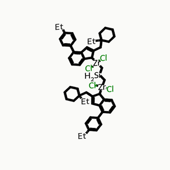 CCc1ccc(-c2cccc3c2C=C(CC2(CC)CCCCC2)[CH]3[Zr]([Cl])([Cl])[CH2][SiH2][CH2][Zr]([Cl])([Cl])[CH]2C(CC3(CC)CCCCC3)=Cc3c(-c4ccc(CC)cc4)cccc32)cc1